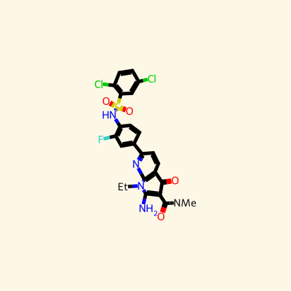 CCn1c(N)c(C(=O)NC)c(=O)c2ccc(-c3ccc(NS(=O)(=O)c4cc(Cl)ccc4Cl)c(F)c3)nc21